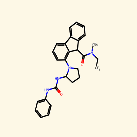 CCCCN(CC(F)(F)F)C(=O)C1c2ccccc2-c2cccc(N3CCCC3NC(=O)Nc3ccccc3)c21